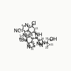 CC(C)(C)CNc1c(C#N)cnc2c(Cl)cc(N[C@H](c3cn(C4(CO)CC4)nn3)c3cccc4ncsc34)cc12